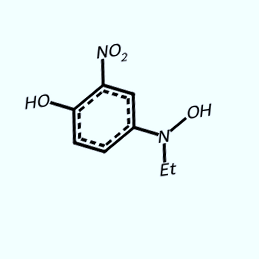 CCN(O)c1ccc(O)c([N+](=O)[O-])c1